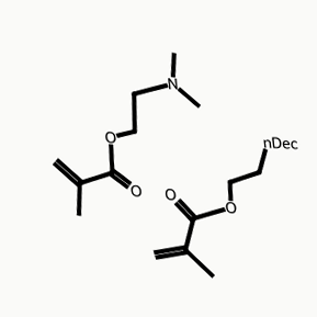 C=C(C)C(=O)OCCCCCCCCCCCC.C=C(C)C(=O)OCCN(C)C